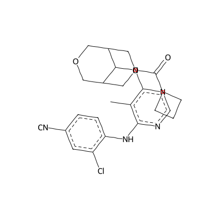 [C-]#[N+]c1ccc(Nc2ncnc(OC3C4COCC3CN(C(=O)C3CCC3)C4)c2C)c(Cl)c1